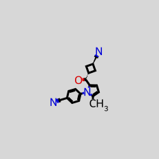 Cc1ccc(C(=O)[C@H]2C[C@H](C#N)C2)n1-c1ccc(C#N)cc1